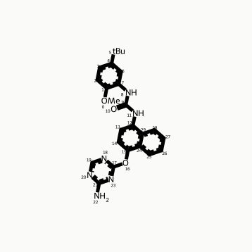 COc1ccc(C(C)(C)C)cc1NC(=O)Nc1ccc(Oc2ncnc(N)n2)c2ccccc12